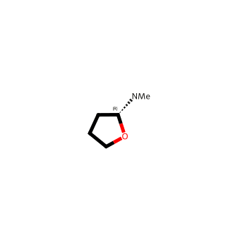 CN[C@H]1CCCO1